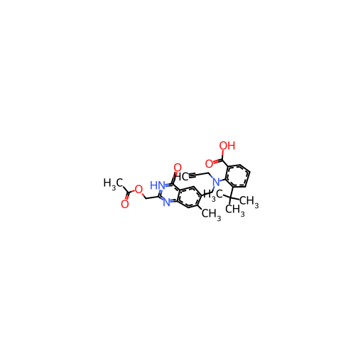 C#CCN(Cc1cc2c(=O)[nH]c(COC(C)=O)nc2cc1C)c1c(C(=O)O)cccc1C(C)(C)C